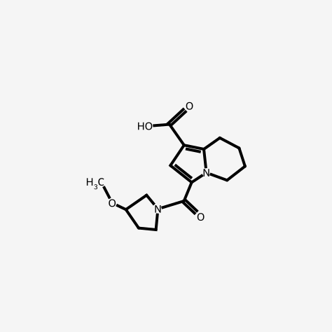 COC1CCN(C(=O)c2cc(C(=O)O)c3n2CCCC3)C1